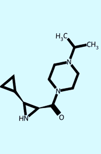 CC(C)N1CCN(C(=O)[C@H]2N[C@H]2C2CC2)CC1